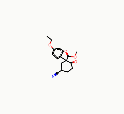 CCOc1ccc(C2(C(=O)OC)CC(C#N)CCC2=O)cc1